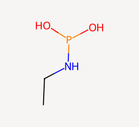 CCNP(O)O